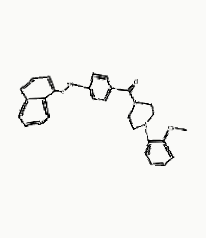 COc1ccccc1N1CCN(C(=O)c2ccc(NSc3cccc4ccccc34)cc2)CC1